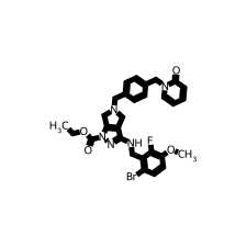 CCOC(=O)n1nc(NCc2c(Br)ccc(OC)c2F)c2c1CN(Cc1ccc(Cn3ccccc3=O)cc1)C2